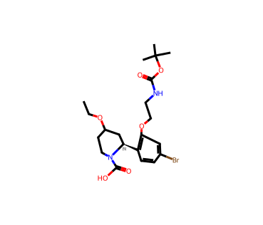 CCOC1CCN(C(=O)O)[C@H](c2ccc(Br)cc2OCCNC(=O)OC(C)(C)C)C1